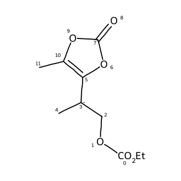 CCOC(=O)OC[C](C)c1oc(=O)oc1C